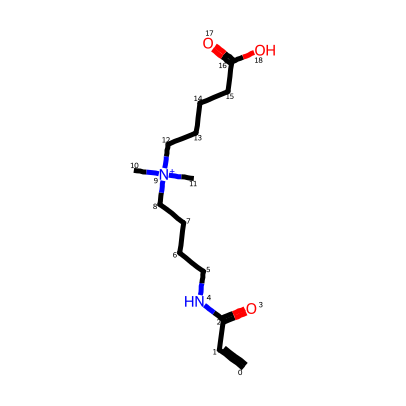 C=CC(=O)NCCCC[N+](C)(C)CCCCC(=O)O